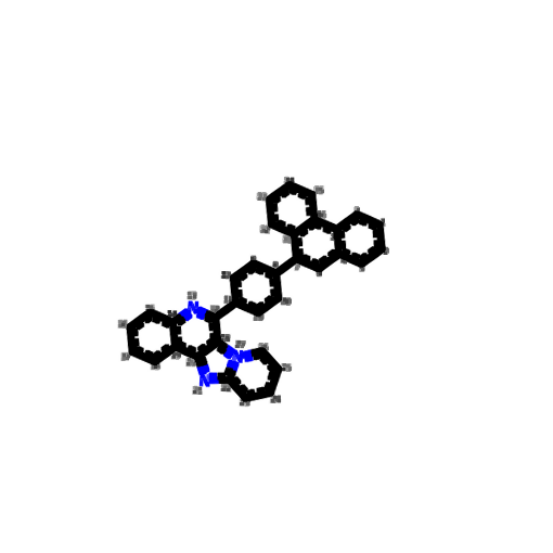 c1ccc2c(c1)cc(-c1ccc(-c3nc4ccccc4c4nc5ccccn5c34)cc1)c1ccccc12